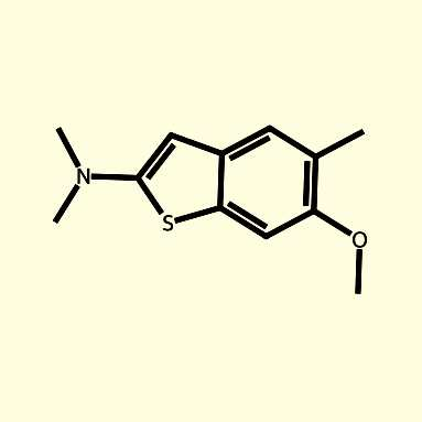 COc1cc2sc(N(C)C)cc2cc1C